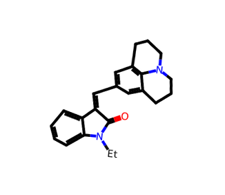 CCN1C(=O)/C(=C\c2cc3c4c(c2)CCCN4CCC3)c2ccccc21